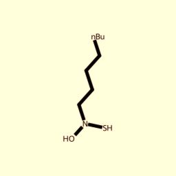 CCCCCCCCN(O)S